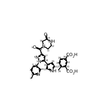 Cc1ccc(-n2nc(C(=O)N3CCNC(=O)C3)cc2-c2cc[nH]c2)cn1.Cc1ccc(C(=O)O)cc1C(=O)O